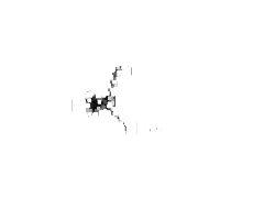 CCCCCCCCCCCCCCCCCC(=O)OCCCCCCCC(C)C.O=C1CNC(=O)N1